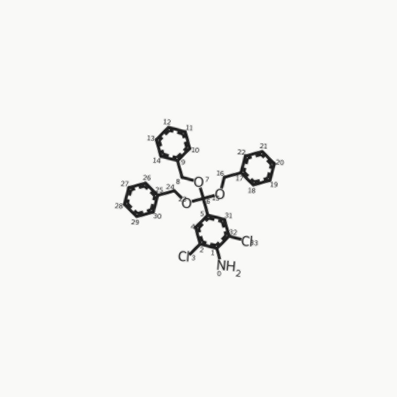 Nc1c(Cl)cc(C(OCc2ccccc2)(OCc2ccccc2)OCc2ccccc2)cc1Cl